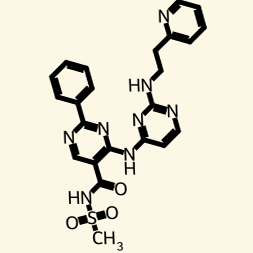 CS(=O)(=O)NC(=O)c1cnc(-c2ccccc2)nc1Nc1ccnc(NCCc2ccccn2)n1